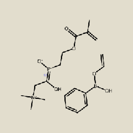 C=C(C)C(=O)OCC/[P+]([O-])=C(\O)C[N+](C)(C)C.C=COB(O)c1ccccc1